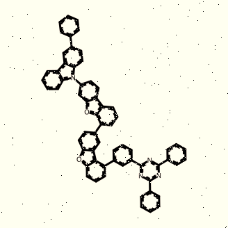 c1ccc(-c2ccc3c(c2)c2ccccc2n3-c2ccc3c(c2)oc2c(-c4ccc5oc6cccc(-c7cccc(-c8nc(-c9ccccc9)nc(-c9ccccc9)n8)c7)c6c5c4)cccc23)cc1